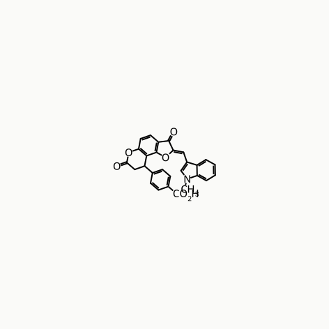 Cn1cc(C=C2Oc3c(ccc4c3C(c3ccc(C(=O)O)cc3)CC(=O)O4)C2=O)c2ccccc21